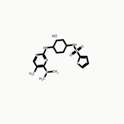 Cc1cnc(NC2CCC(NS(=O)(=O)c3cccs3)CC2)nc1N(C)C.Cl